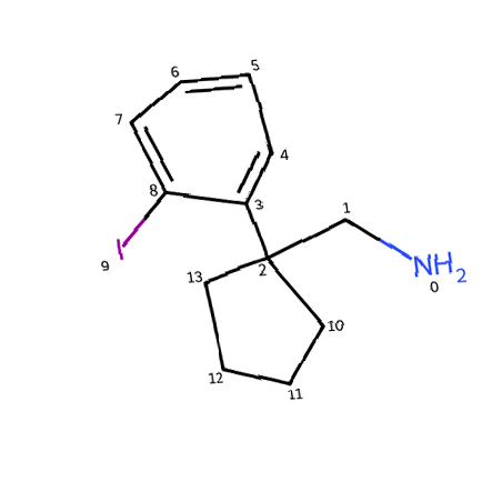 NCC1(c2ccccc2I)CCCC1